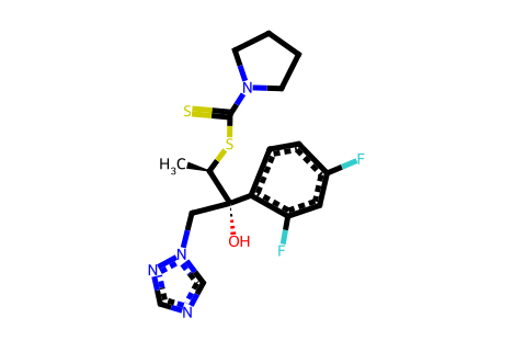 C[C@@H](SC(=S)N1CCCC1)[C@](O)(Cn1cncn1)c1ccc(F)cc1F